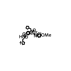 COc1ccc2nc(NC(=O)C(CC3CCCC3)c3ccc(S(=O)(=O)NCCC4CCCN4C)cc3)sc2n1